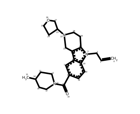 C=CCn1c2c(c3cc(C(=O)N4CCC(C)CC4)ccc31)CN(C1CCOC1)CC2